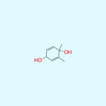 CC1=CC(O)C=CC1(C)O